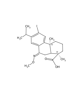 CON=C1CC2[C@](C)(C(=O)O)CCC[C@]2(C)c2cc(I)c(C(C)C)cc21